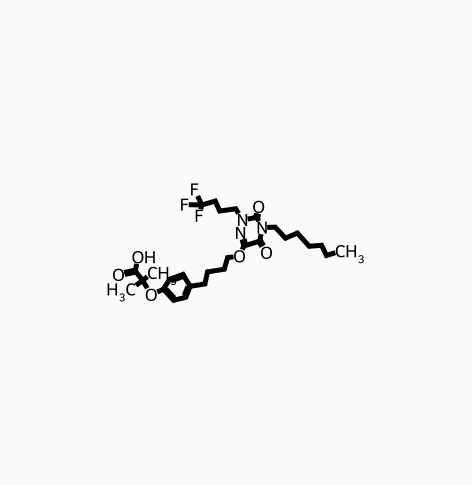 CCCCCCCn1c(=O)c(OCCCCc2ccc(OC(C)(C)C(=O)O)cc2)nn(CCCC(F)(F)F)c1=O